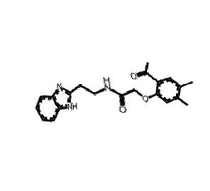 CC(=O)c1cc(C)c(C)cc1OCC(=O)NCCc1nc2ccccc2[nH]1